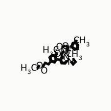 CCOC(=O)CCc1ccc(OC)c(-c2ccc(N3CCC3)nc2CN2C(=O)O[C@H](c3cccc(C)c3)[C@@H]2C)c1